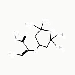 CC=C(OC1CC(C)(C)NC(C)(C)C1)C(=O)OC